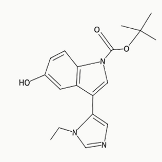 CCn1cncc1-c1cn(C(=O)OC(C)(C)C)c2ccc(O)cc12